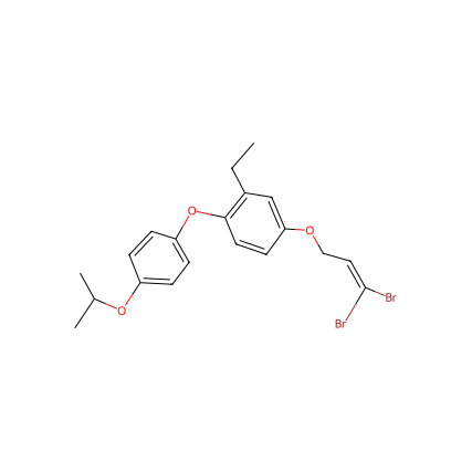 CCc1cc(OCC=C(Br)Br)ccc1Oc1ccc(OC(C)C)cc1